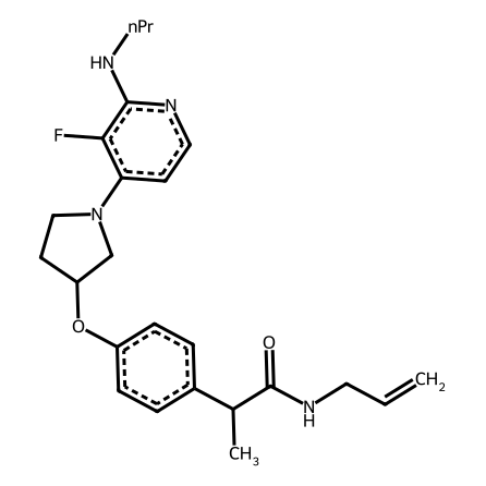 C=CCNC(=O)C(C)c1ccc(OC2CCN(c3ccnc(NCCC)c3F)C2)cc1